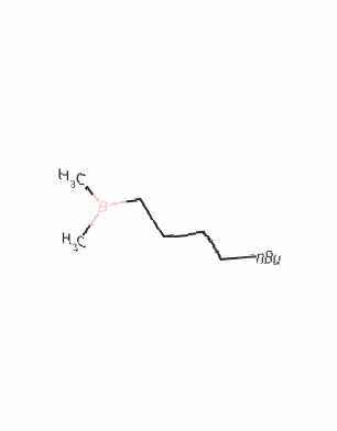 CCCCCCCCB(C)C